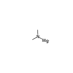 C[N](C)[Mg]